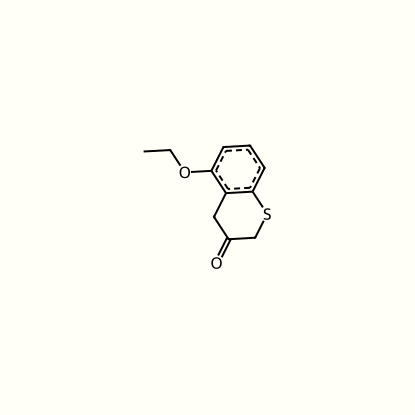 CCOc1cccc2c1CC(=O)CS2